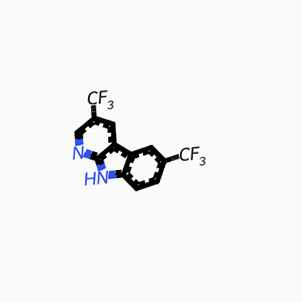 FC(F)(F)c1ccc2[nH]c3ncc(C(F)(F)F)cc3c2c1